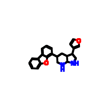 c1ccc2c(c1)oc1c(C3CNC4NCC(c5ccoc5)C4C3)cccc12